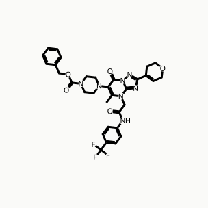 Cc1c(N2CCN(C(=O)OCc3ccccc3)CC2)c(=O)n2nc(C3=CCOCC3)nc2n1CC(=O)Nc1ccc(C(F)(F)F)cc1